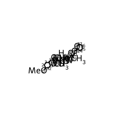 COC1CCC(CS(=O)(=O)C(C)(C)C(=O)Nc2cc(C(C)(C)COC3CCCCO3)no2)CC1